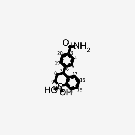 NC(=O)c1ccc(C2CCS(O)(O)c3ccccc32)cc1